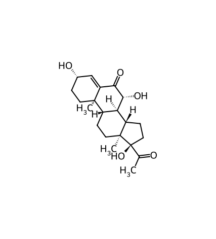 CC(=O)[C@@]1(O)CC[C@H]2[C@@H]3[C@@H](O)C(=O)C4=C[C@@H](O)CC[C@]4(C)[C@H]3CC[C@@]21C